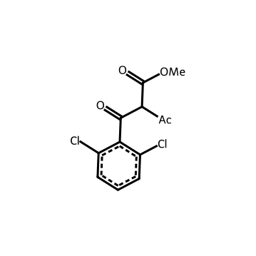 COC(=O)C(C(C)=O)C(=O)c1c(Cl)cccc1Cl